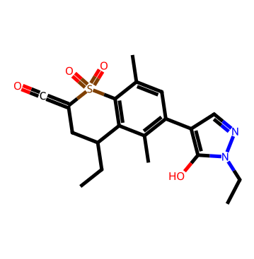 CCC1CC(=C=O)S(=O)(=O)c2c(C)cc(-c3cnn(CC)c3O)c(C)c21